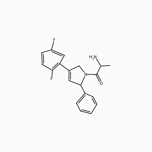 CC(N)C(=O)N1CC(c2cc(F)ccc2F)=CC1c1ccccc1